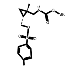 Cc1ccc(S(=O)(=O)OC[C@@H]2C[C@]2(C)CNC(=O)OC(C)(C)C)cc1